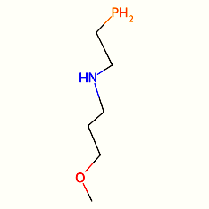 COCCCNCCP